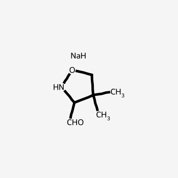 CC1(C)CONC1C=O.[NaH]